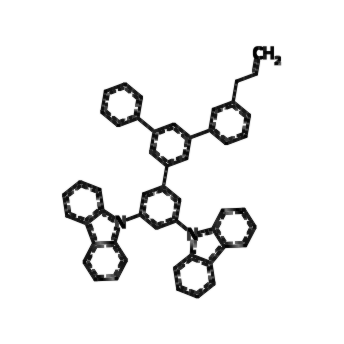 C=CCc1cccc(-c2cc(-c3ccccc3)cc(-c3cc(-n4c5ccccc5c5ccccc54)cc(-n4c5ccccc5c5ccccc54)c3)c2)c1